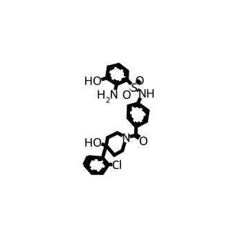 Nc1c(O)cccc1S(=O)(=O)Nc1ccc(C(=O)N2CCC(O)(c3c#cccc3Cl)CC2)cc1